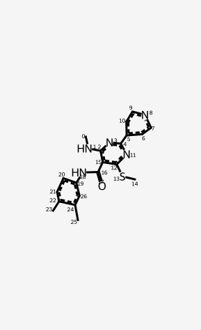 CNc1nc(-c2ccncc2)nc(SC)c1C(=O)Nc1ccc(C)c(C)c1